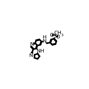 CS(=O)(=O)c1cccc(CNc2ccc3ncc(C#N)c(NC4CCCC4)c3c2)c1